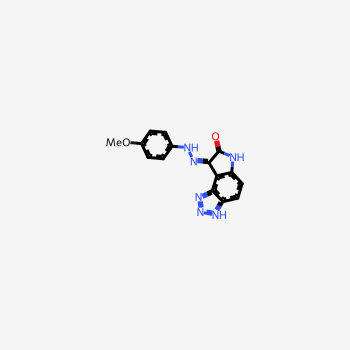 COc1ccc(NN=C2C(=O)Nc3ccc4[nH]nnc4c32)cc1